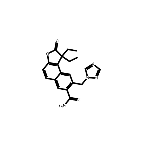 CCC1(CC)C(=O)Oc2ccc3cc(C(N)=O)c(Cn4cncn4)cc3c21